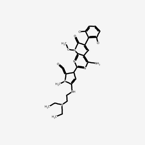 CCN(CC)CCNC1=CC(c2nc(N)c3cc(-c4c(Cl)cccc4Cl)c(=O)n(OC)c3n2)C(=C=O)N1C